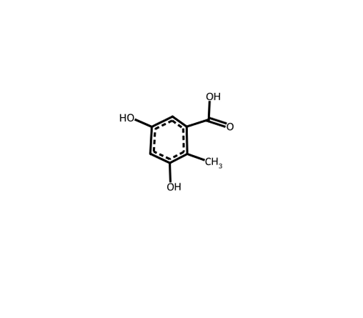 Cc1c(O)cc(O)cc1C(=O)O